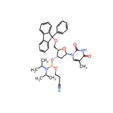 Cc1cn([C@H]2C[C@H](OP(OCCC#N)N(C(C)C)C(C)C)[C@@H](COC3(c4ccccc4)c4ccccc4-c4ccccc43)O2)c(=O)[nH]c1=O